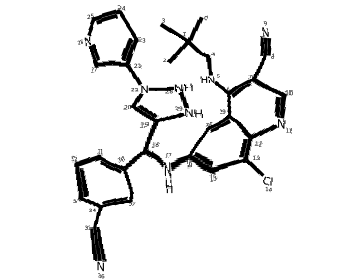 CC(C)(C)CNc1c(C#N)cnc2c(Cl)cc(NC(C3=CN(c4cccnc4)NN3)c3cccc(C#N)c3)cc12